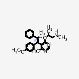 CNCC(C)Oc1ncnc(O)c1/C(=C(\C)c1ccccc1)c1ccc(OC)cc1